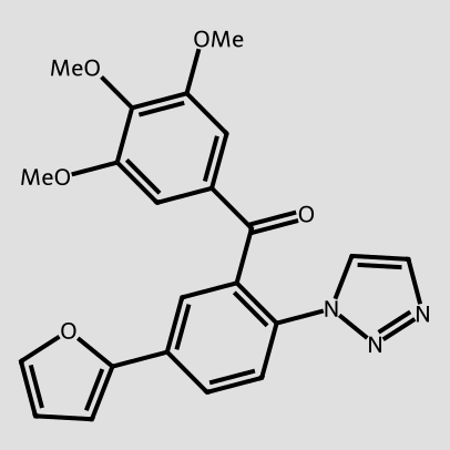 COc1cc(C(=O)c2cc(-c3ccco3)ccc2-n2ccnn2)cc(OC)c1OC